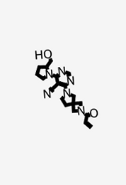 C=CC(=O)N1CC2(CCN(c3ncnc(N4CCCC4CO)c3C#N)C2)C1